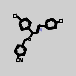 N#Cc1ccc(CSC(/C=C/c2ccc(Cl)cc2)c2ccc(Cl)cc2)cc1